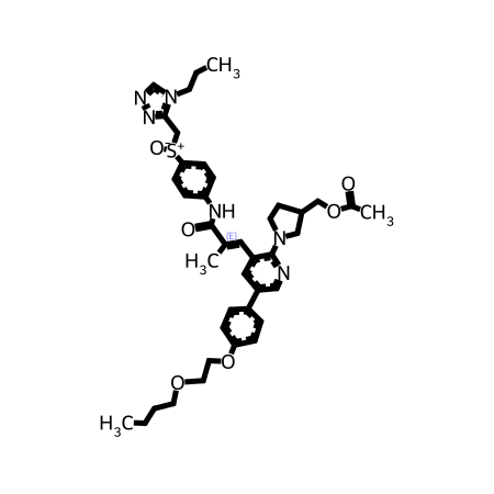 CCCCOCCOc1ccc(-c2cnc(N3CCC(COC(C)=O)C3)c(/C=C(\C)C(=O)Nc3ccc([S+]([O-])Cc4nncn4CCC)cc3)c2)cc1